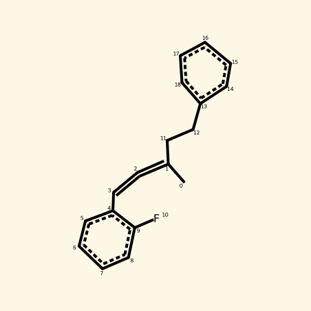 CC(=C=Cc1ccccc1F)CCc1ccccc1